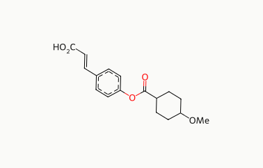 COC1CCC(C(=O)Oc2ccc(C=CC(=O)O)cc2)CC1